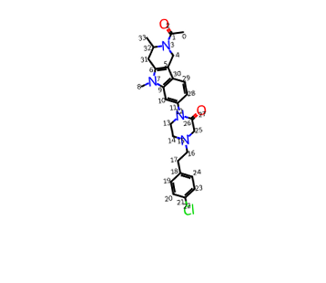 CC(=O)N1Cc2c(n(C)c3cc(N4CCN(CCc5ccc(Cl)cc5)CC4=O)ccc23)CC1C